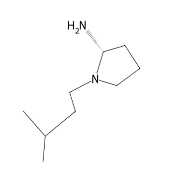 CC(C)CCN1CCC[C@H]1N